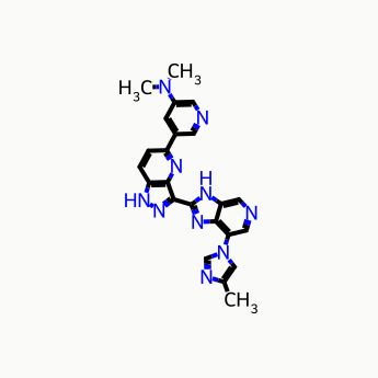 Cc1cn(-c2cncc3[nH]c(-c4n[nH]c5ccc(-c6cncc(N(C)C)c6)nc45)nc23)cn1